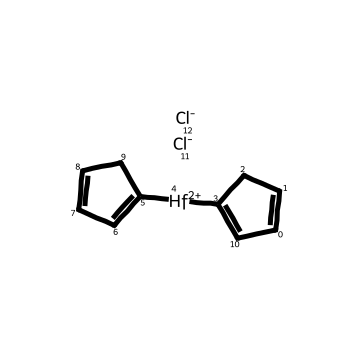 C1=CC[C]([Hf+2][C]2=CC=CC2)=C1.[Cl-].[Cl-]